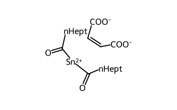 CCCCCCC[C](=O)[Sn+2][C](=O)CCCCCCC.O=C([O-])/C=C\C(=O)[O-]